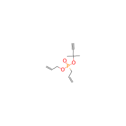 C#CC(C)(C)OP(=O)(CC=C)OCC=C